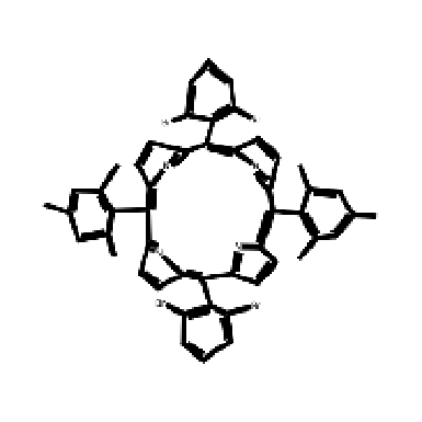 Cc1cc(C)c(C2=C3C=CC(=N3)C(c3c(Br)cccc3Br)=C3C=CC(=N3)C(c3c(C)cc(C)cc3C)=C3C=CC(=N3)C(c3c(Br)cccc3Br)=C3C=CC2=N3)c(C)c1